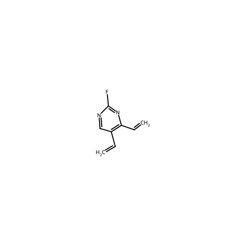 C=Cc1cnc(F)nc1C=C